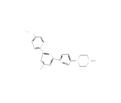 COc1ccc(-c2cc(Cl)cc(-c3ccc(N4CCN(C)CC4)cc3)n2)cc1